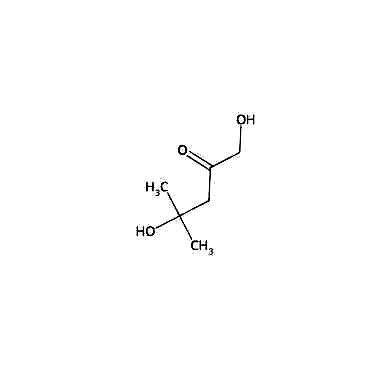 CC(C)(O)CC(=O)CO